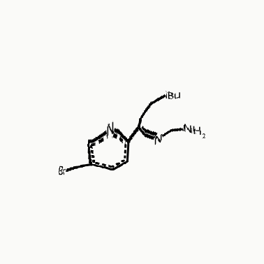 CCC(C)C/C(=N\N)c1ccc(Br)cn1